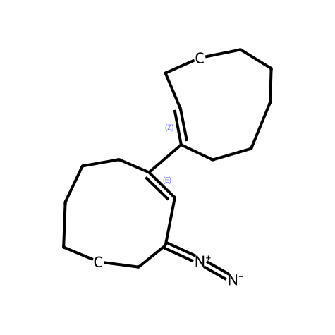 [N-]=[N+]=C1/C=C(/C2=C\CCCCCCC2)CCCCCC1